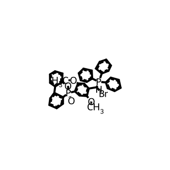 COc1cc(P2(=O)Oc3ccccc3-c3ccccc32)c(OC)cc1C(Br)[PH](c1ccccc1)(c1ccccc1)c1ccccc1